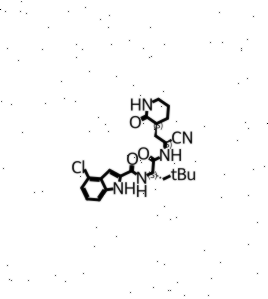 CC(C)(C)C[C@H](NC(=O)c1cc2c(Cl)cccc2[nH]1)C(=O)N[C@H](C#N)C[C@@H]1CCCNC1=O